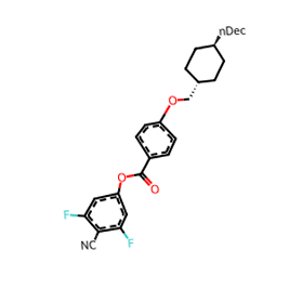 CCCCCCCCCC[C@H]1CC[C@H](COc2ccc(C(=O)Oc3cc(F)c(C#N)c(F)c3)cc2)CC1